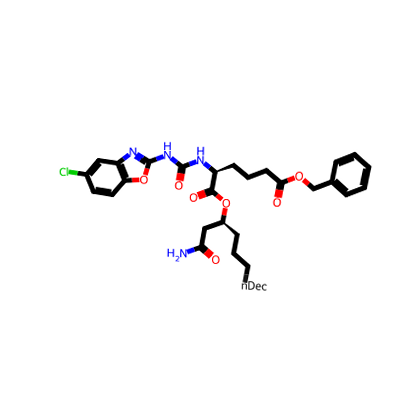 CCCCCCCCCCCCC[C@@H](CC(N)=O)OC(=O)[C@H](CCCC(=O)OCc1ccccc1)NC(=O)Nc1nc2cc(Cl)ccc2o1